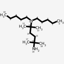 CCCCCN(CCCCC)C(C)(C)CCC(C)(C)N